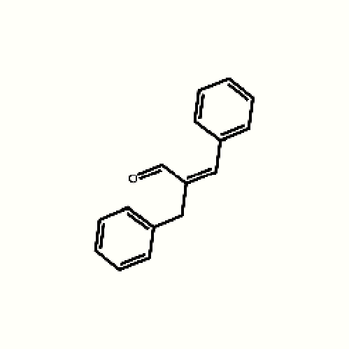 O=CC(=Cc1ccccc1)Cc1ccccc1